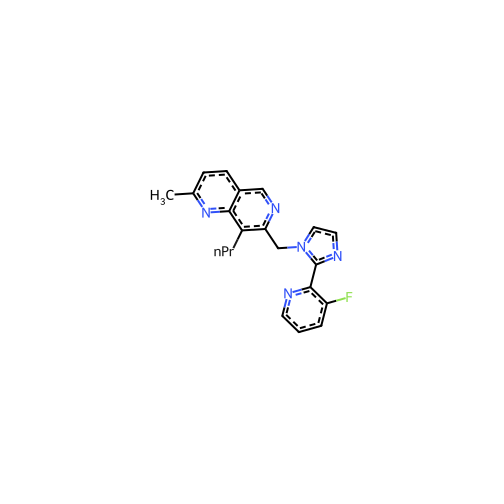 CCCc1c(Cn2ccnc2-c2ncccc2F)ncc2ccc(C)nc12